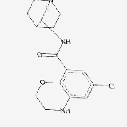 O=C(NC1CN2CCC1CC2)c1cc(Cl)cc2c1OCCN2